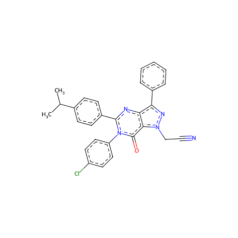 CC(C)c1ccc(-c2nc3c(-c4ccccc4)nn(CC#N)c3c(=O)n2-c2ccc(Cl)cc2)cc1